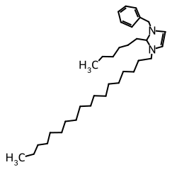 CCCCCCCCCCCCCCCCCCN1C=CN(Cc2ccccc2)C1CCCCCC